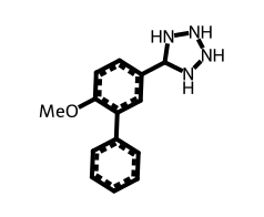 COc1ccc(C2NNNN2)cc1-c1ccccc1